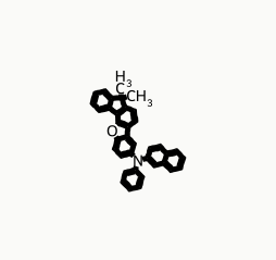 CC1(C)c2ccccc2-c2c1ccc1c2oc2ccc(N(c3ccccc3)c3ccc4ccccc4c3)cc21